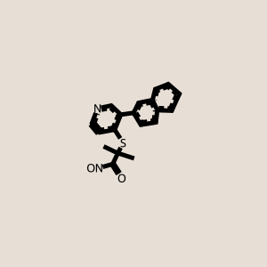 CC(C)(Sc1c#cncc1-c1ccc2ccccc2c1)C(=O)N=O